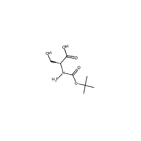 CC(C)(C)OC(=O)N(P)[C@@H](CO)C(=O)O